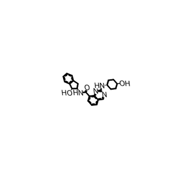 O=C(N[C@@H]1Cc2ccccc2[C@H]1O)c1cccc2cnc(N[C@H]3CC[C@H](O)CC3)nc12